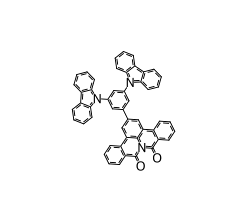 O=c1c2ccccc2c2cc(-c3cc(-n4c5ccccc5c5ccccc54)cc(-n4c5ccccc5c5ccccc54)c3)cc3c4ccccc4c(=O)n1c23